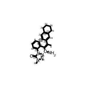 C/C(=C(\ON)c1c(Br)cccc1-n1nnn(C)c1=O)c1ccc2c(c1)CCCC2